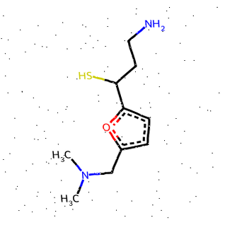 CN(C)Cc1ccc(C(S)CCN)o1